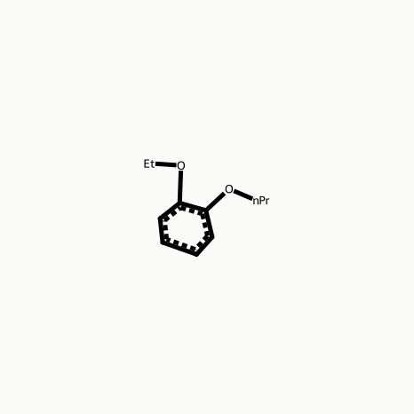 [CH2]CCOc1ccccc1OCC